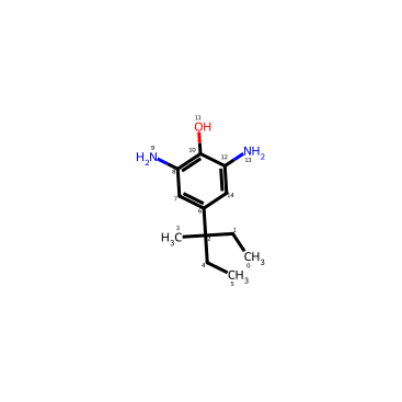 CCC(C)(CC)c1cc(N)c(O)c(N)c1